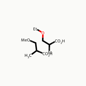 CCOCC(CC)C(=O)O.COCC(C)C(=O)O